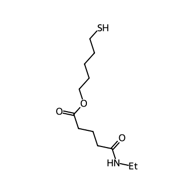 CCNC(=O)CCCC(=O)OCCCCCS